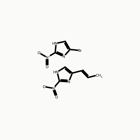 CC=Cc1c[nH]c([N+](=O)[O-])n1.O=[N+]([O-])c1nc(Br)c[nH]1